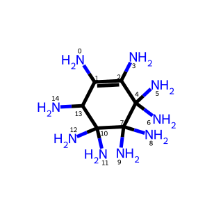 NC1=C(N)C(N)(N)C(N)(N)C(N)(N)C1N